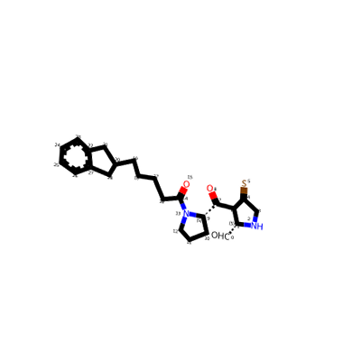 O=C[C@H]1NCC(=S)C1C(=O)[C@@H]1CCCN1C(=O)CCCCC1Cc2ccccc2C1